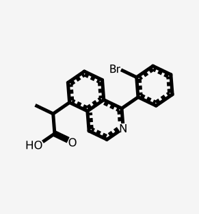 CC(C(=O)O)c1cccc2c(-c3ccccc3Br)nccc12